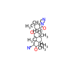 CC1(C)CC[C@]2(C(=O)n3ccnc3)CCC3[C@H](C(=O)C=C4[C@@]3(C)CC[C@H]3C(C)(C)C(=O)C(C#N)=C[C@]43C)[C@@H]2C1